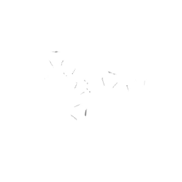 COC(=O)c1ccc(Cn2nc(-c3ccccc3)cc2C(=O)Nc2ccccc2C)cc1